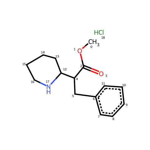 COC(=O)C(Cc1ccccc1)C1CCCCN1.Cl